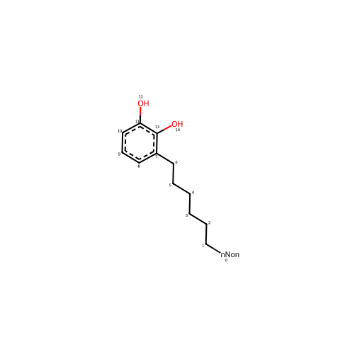 CCCCCCCCCCCCCCCc1cccc(O)c1O